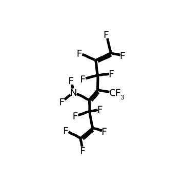 FC(F)=C(F)C(F)(F)C(=C(C(F)(F)F)C(F)(F)C(F)=C(F)F)N(F)F